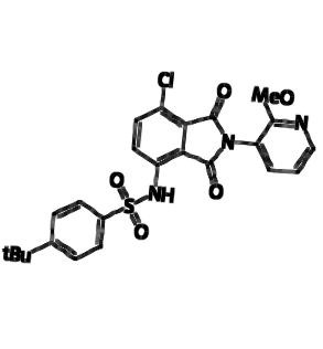 COc1ncccc1N1C(=O)c2c(Cl)ccc(NS(=O)(=O)c3ccc(C(C)(C)C)cc3)c2C1=O